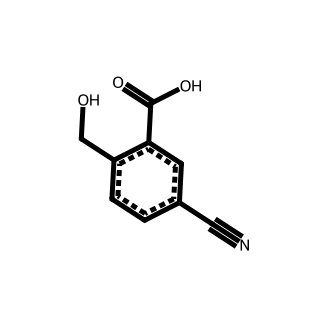 N#Cc1ccc(CO)c(C(=O)O)c1